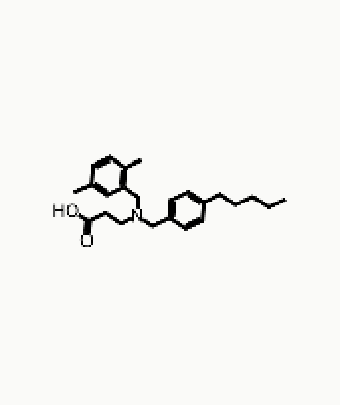 CCCCCc1ccc(CN(CCC(=O)O)Cc2cc(C)ccc2C)cc1